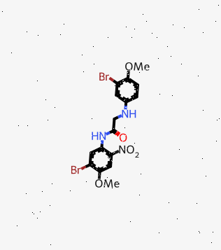 COc1ccc(NCC(=O)Nc2cc(Br)c(OC)cc2[N+](=O)[O-])cc1Br